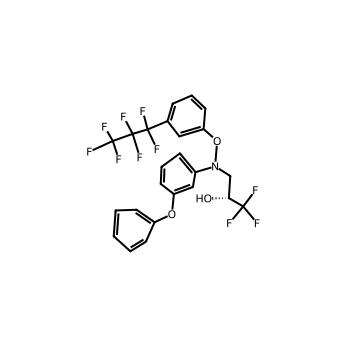 O[C@H](CN(Oc1cccc(C(F)(F)C(F)(F)C(F)(F)F)c1)c1cccc(Oc2ccccc2)c1)C(F)(F)F